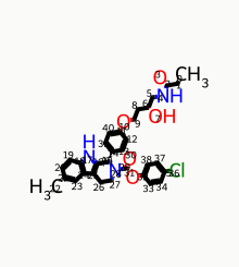 CCC(=O)NCC(O)CCOc1ccc([C@H]2c3[nH]c4ccc(C)cc4c3CCN2C(=O)Oc2ccc(Cl)cc2)cc1